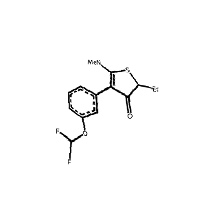 CCC1SC(NC)=C(c2cccc(OC(F)F)c2)C1=O